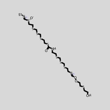 CC/N=C/[S+]([O-])CCSCSCSCCSC(=O)NCCSCSCSCC/N=C/OOCCSCCO